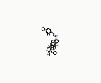 COc1ccc(/C=C/[C@@H](C)[C@H]2CC[C@H]3[C@@H]4CC(OC)C56C[C@H]5CC[C@]6(C)[C@H]4CC[C@]23C)nc1